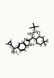 CC(C)(C)[S@@+]([O-])N[C@H](c1nc2cc([C@@H](N)C3CC3)ccc2[nH]1)C1CCC(F)(F)CC1